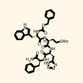 CSCC[C@H](NC(=O)[C@H](Cc1c[nH]c2ccccc12)NC(=O)OCc1ccccc1)C(=O)N[C@@H](Cc1nnn[nH]1)C(=O)N[C@@H](Cc1ccccc1)C(N)=O